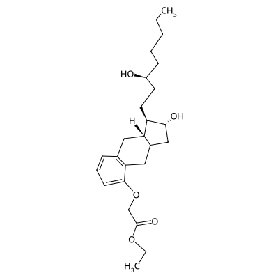 CCCCC[C@H](O)CC[C@H]1[C@H](O)CC2Cc3c(cccc3OCC(=O)OCC)C[C@@H]21